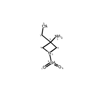 N#CCC1(N)CN([SH](=O)=O)C1